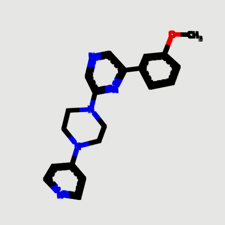 COc1cccc(-c2cncc(N3CCN(c4ccncc4)CC3)n2)c1